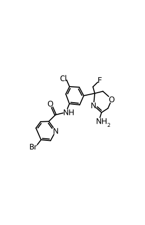 NC1=NC(CF)(c2cc(Cl)cc(NC(=O)c3ccc(Br)cn3)c2)COC1